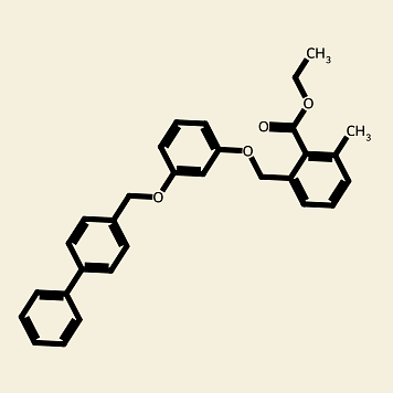 CCOC(=O)c1c(C)cccc1COc1cccc(OCc2ccc(-c3ccccc3)cc2)c1